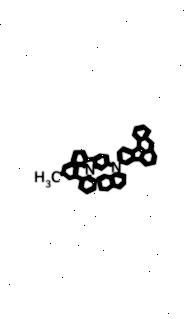 CC1C=CC=C(c2ccccc2-n2c3ccccc3c3ccc(N(c4ccc5c(c4)-c4cccc6cc7ccccc7c-5c46)c4cccc5c4C=CCC5)cc32)C1